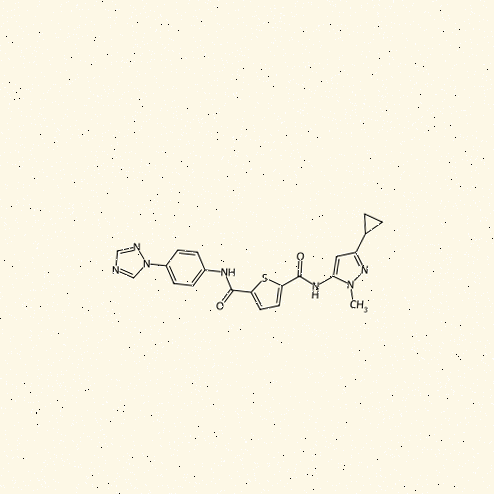 Cn1nc(C2CC2)cc1NC(=O)c1ccc(C(=O)Nc2ccc(-n3cncn3)cc2)s1